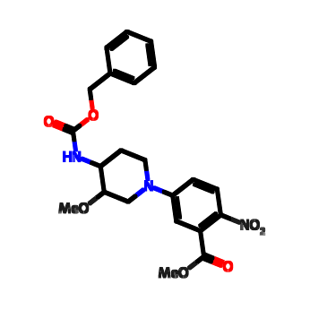 COC(=O)c1cc(N2CCC(NC(=O)OCc3ccccc3)C(OC)C2)ccc1[N+](=O)[O-]